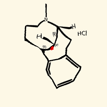 CN1CC[C@]23CCCC[C@H]2[C@H]1Cc1ccccc13.Cl